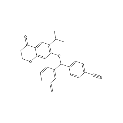 C=C/C=C(\C=C/C)C(Oc1cc2c(cc1C(C)C)C(=O)CCO2)c1ccc(C#N)cc1